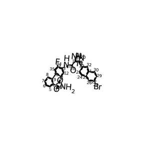 NS(=O)(=O)c1ccccc1-c1ccc(NC(=O)c2nnnn2-c2ccc3cc(Br)ccc3c2)c(F)c1